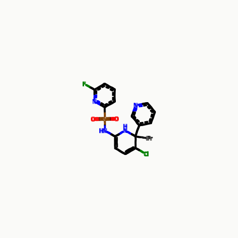 CC(C)C1(c2cccnc2)NC(NS(=O)(=O)c2cccc(F)n2)=CC=C1Cl